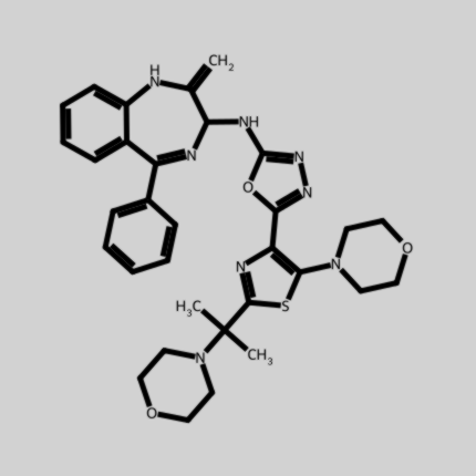 C=C1Nc2ccccc2C(c2ccccc2)=NC1Nc1nnc(-c2nc(C(C)(C)N3CCOCC3)sc2N2CCOCC2)o1